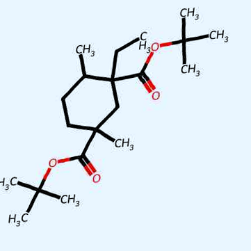 CCC1(C(=O)OC(C)(C)C)CC(C)(C(=O)OC(C)(C)C)CCC1C